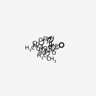 CC(C)C[C@H](NC(=O)[C@H](Cc1ccccc1)NC(=O)c1cnccn1)B(O)OC(=O)C(CC(=O)O)CC(=O)N(C)C